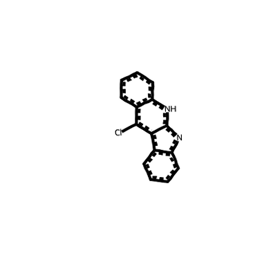 Clc1c2c3ccccc3nc-2[nH]c2ccccc12